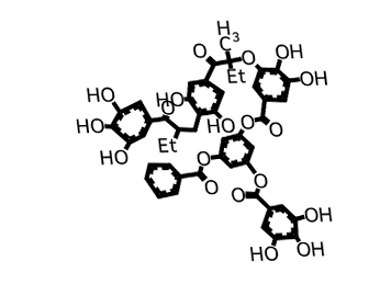 CCC(Cc1c(O)cc(C(=O)C(C)(CC)Oc2cc(C(=O)Oc3cc(OC(=O)c4ccccc4)cc(OC(=O)c4cc(O)c(O)c(O)c4)c3)cc(O)c2O)cc1O)C(=O)c1cc(O)c(O)c(O)c1